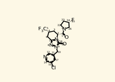 O=C([C@H]1C[C@@H](C(F)(F)F)Cc2nn(Cc3cncc(Cl)c3)c(=O)n21)N1CC[C@H](F)C1